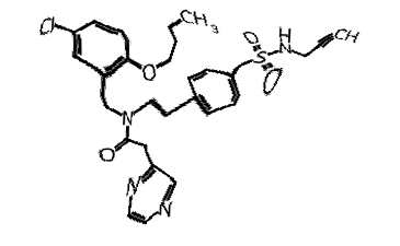 C#CCNS(=O)(=O)c1ccc(CCN(Cc2cc(Cl)ccc2OCCC)C(=O)Cc2cnccn2)cc1